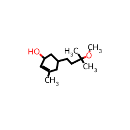 COC(C)(C)CCC1CC(C)=CC(O)C1